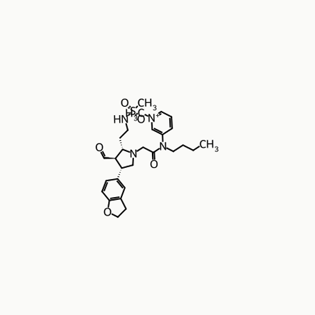 CCCCN(C(=O)CN1C[C@H](c2ccc3c(c2)CCO3)[C@@H](C=O)[C@@H]1CCNS(C)(=O)=O)c1ccc[n+](C)c1